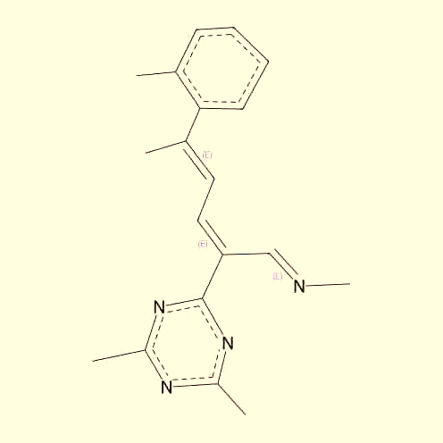 C/N=C/C(=C\C=C(/C)c1ccccc1C)c1nc(C)nc(C)n1